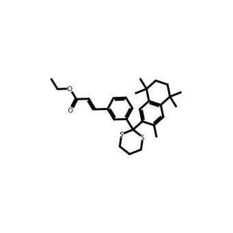 CCOC(=O)C=Cc1cccc(C2(c3cc4c(cc3C)C(C)(C)CCC4(C)C)SCCCS2)c1